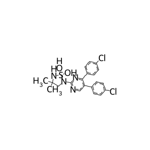 CC1(C)CN(c2ncc(-c3ccc(Cl)cc3)c(-c3ccc(Cl)cc3)n2)S(O)(O)N1